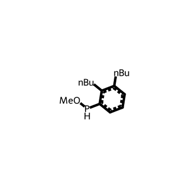 CCCCc1cccc(POC)c1CCCC